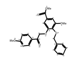 COC(=O)c1cc(OC)c(OCc2ccccc2)c(OCC(=O)c2ccc(OC)nc2)c1